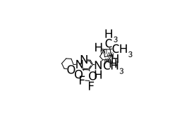 C[C@H]1C(Nc2cnn(C3CCCCO3)c(=O)c2OC(F)F)C[C@@H]2C[C@H]1C2(C)C